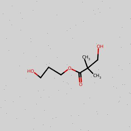 CC(C)(CO)C(=O)OCCCO